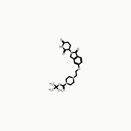 CC(C)(C)OC(=O)N1CCN(CCOc2ccc3c(c2)CN(C2CCC(=O)NC2=O)C3=O)CC1